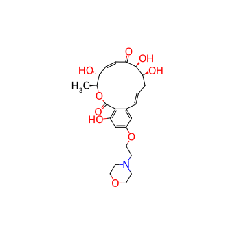 C[C@@H]1OC(=O)c2c(O)cc(OCCN3CCOCC3)cc2/C=C/C[C@H](O)[C@H](O)C(=O)/C=C\[C@H]1O